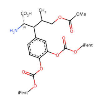 CCCC(C)OC(=O)Oc1ccc(C(C(C)COC(=O)OC)[C@H](N)C(=O)O)cc1OC(=O)OC(C)CCC